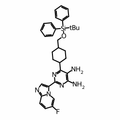 CC(C)(C)[Si](OCC1CCC(c2nc(-c3cnc4ccc(F)cn34)nc(N)c2N)CC1)(c1ccccc1)c1ccccc1